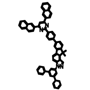 CC1(C)c2ccc(-c3ccc(-c4nc(-c5ccc6ccccc6c5)cc(-c5ccc6ccccc6c5)n4)cc3)cc2-c2ccc3c(cnn3-c3cc(-c4ccccc4)cc(C4C=CC=CC4)c3)c21